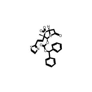 C[C@]1(/C=C/c2nccs2)[C@H](OC(=O)OC(c2ccccc2)c2ccccc2)N2C(=O)C[C@H]2S1(=O)=O